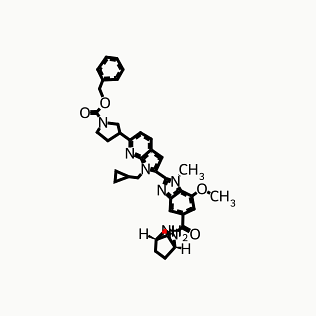 COc1cc(C(=O)N2C[C@H]3CC[C@@H]2[C@@H]3N)cc2nc(-c3cc4ccc(C5CCN(C(=O)OCc6ccccc6)C5)nc4n3CC3CC3)n(C)c12